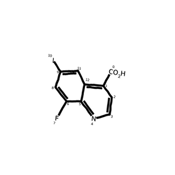 O=C(O)c1ccnc2c(F)cc(I)cc12